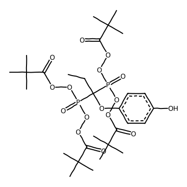 CCC(Oc1ccc(O)cc1)(P(=O)(OOC(=O)C(C)(C)C)OOC(=O)C(C)(C)C)P(=O)(OOC(=O)C(C)(C)C)OOC(=O)C(C)(C)C